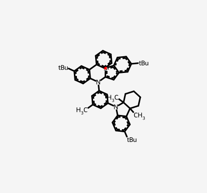 Cc1cc(N(c2cc3cc(C(C)(C)C)ccc3s2)c2ccc(C(C)(C)C)cc2-c2ccccc2)cc(N2c3ccc(C(C)(C)C)cc3C3(C)CCCCC23C)c1